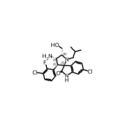 CC(C)CN1[C@@H](CO)[C@@H](N)[C@H](c2cccc(Cl)c2F)[C@]12C(=O)Nc1cc(Cl)ccc12